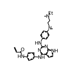 C=CC(=O)Nc1ccc(Nc2nc(Nc3ccc(N(C)CCN(C)CC)cc3)nc3[nH]ccc23)cc1